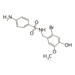 COc1cc(CNS(=O)(=O)c2ccc(N)cc2)c(Br)cc1O